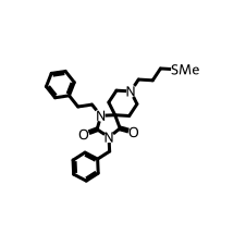 CSCCCN1CCC2(CC1)C(=O)N(Cc1ccccc1)C(=O)N2CCc1ccccc1